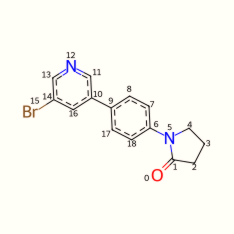 O=C1CCCN1c1ccc(-c2cncc(Br)c2)cc1